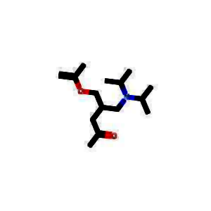 C=C(C)OCC(CC(C)=O)CN(C(C)C)C(C)C